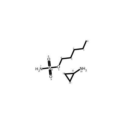 CCCCCOS(N)(=O)=O.NC1CC1